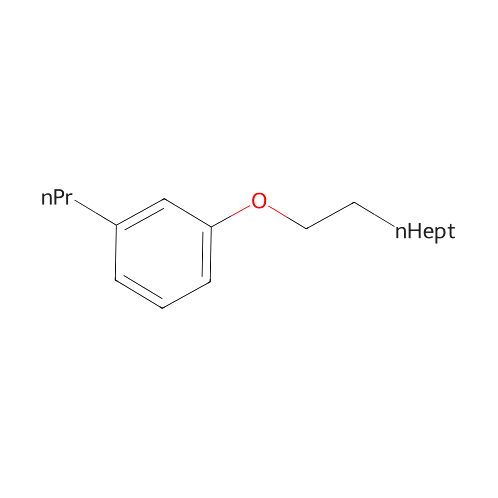 CCCCCCCCCOc1cccc(CCC)c1